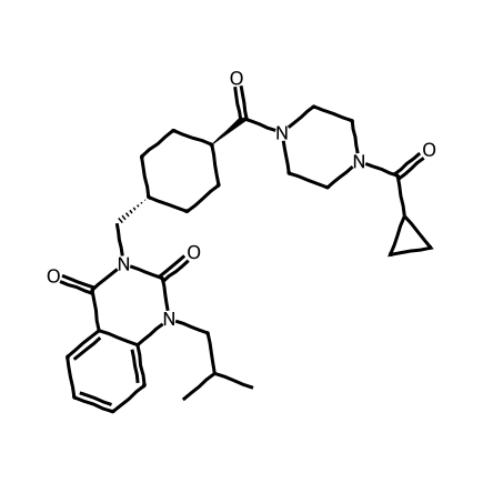 CC(C)Cn1c(=O)n(C[C@H]2CC[C@H](C(=O)N3CCN(C(=O)C4CC4)CC3)CC2)c(=O)c2ccccc21